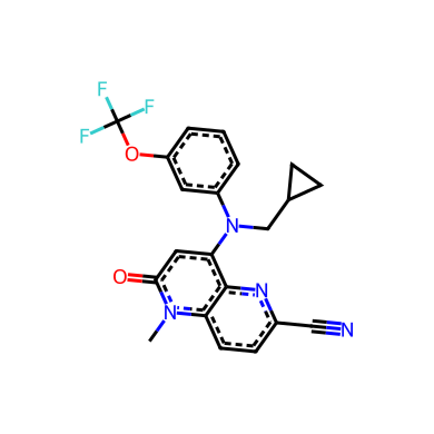 Cn1c(=O)cc(N(CC2CC2)c2cccc(OC(F)(F)F)c2)c2nc(C#N)ccc21